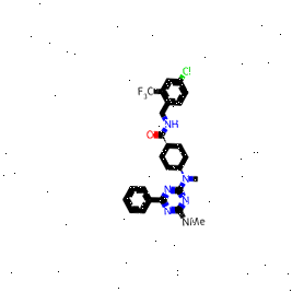 CNc1nc(-c2ccccc2)nc(N(C)[C@H]2CC[C@@H](C(=O)NCc3ccc(Cl)cc3C(F)(F)F)CC2)n1